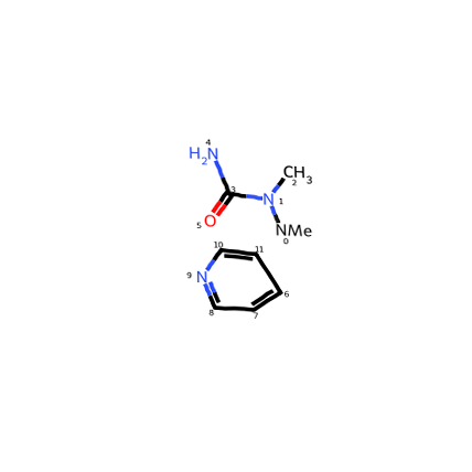 CNN(C)C(N)=O.c1ccncc1